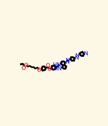 C=CC(=O)OCCCCCCOc1ccc(C(=O)Oc2ccc(C3Nc4cccc5c(/N=N/c6ccc(/N=N/c7ccc(N(C)C)cc7)cc6)ccc(c45)N3)cc2)cc1